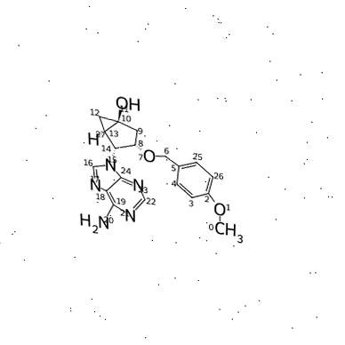 COc1ccc(CO[C@H]2C[C@@]3(O)C[C@@H]3[C@H]2n2cnc3c(N)ncnc32)cc1